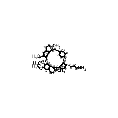 COc1cc2c3cc1Oc1c(OC)c(OC)cc4c1C(Cc1ccc(OCCCN)c(c1)Oc1ccc(cc1)CC3N(C)CC2)N(C)CC4